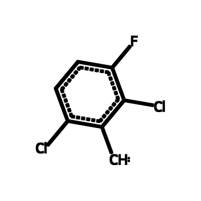 [CH]c1c(Cl)ccc(F)c1Cl